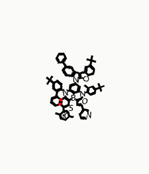 Cc1cc(C(C)(C)C)ccc1N1c2cc(-n3c4ccc(-c5ccccc5)cc4c4c5cc(C(C)(C)C)ccc5oc43)cc3c2B(c2cc(-c4cccnc4)oc21)c1c(ccc2c4c(sc12)C1(C)CCC4(C)CC1)N3c1ccc(C(C)(C)C)cc1-c1ccccc1